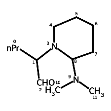 [CH2]CCC(C=O)N1CCCCC1N(C)C